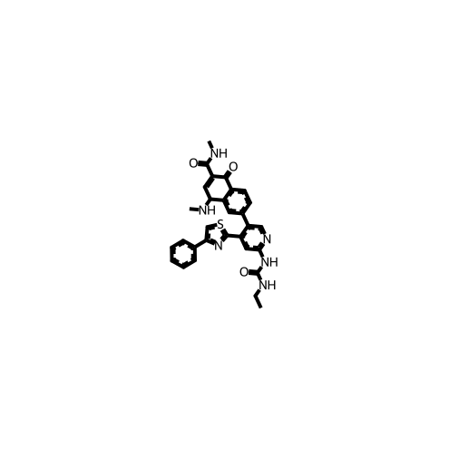 CCNC(=O)Nc1cc(-c2nc(-c3ccccc3)cs2)c(-c2ccc3c(c2)C(NC)C=C(C(=O)NC)C3=O)cn1